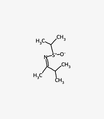 C/C(=N/[S+]([O-])C(C)C)C(C)C